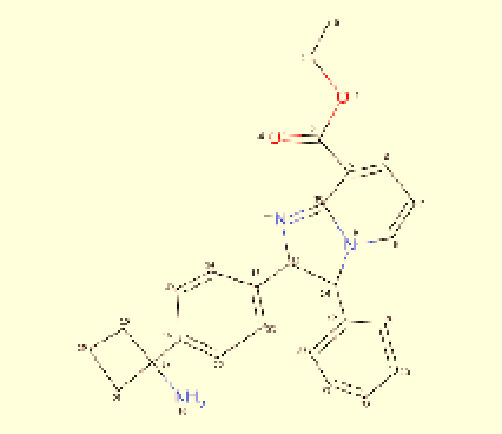 CCOC(=O)C1=CC=CN2C1=NC(c1ccc(C3(N)CCC3)cc1)C2c1ccccc1